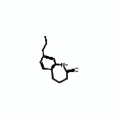 CCCc1ccc2c(c1)NC(=O)CCC2